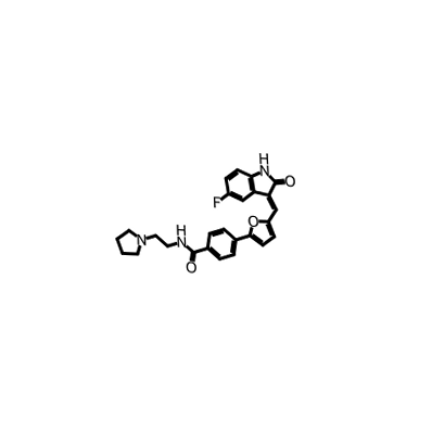 O=C1Nc2ccc(F)cc2/C1=C\c1ccc(-c2ccc(C(=O)NCCN3CCCC3)cc2)o1